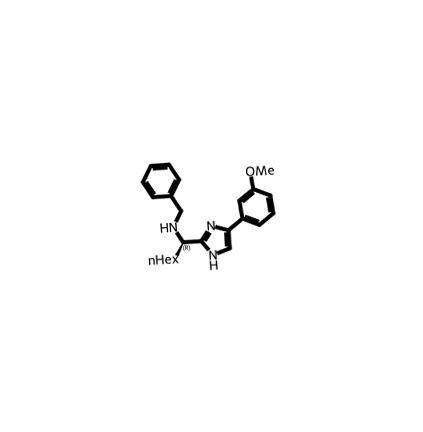 CCCCCC[C@@H](NCc1ccccc1)c1nc(-c2cccc(OC)c2)c[nH]1